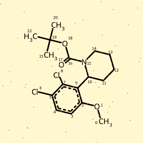 COc1ccc(Cl)c(Cl)c1C1CCCCN1C(=O)OC(C)(C)C